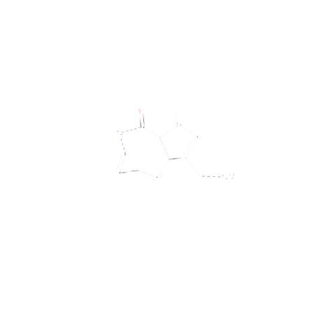 CNCC1=CNC2C(=O)N/C=C/C=C/C12